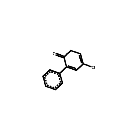 O=C1CC=C(Cl)C=C1c1ccccc1